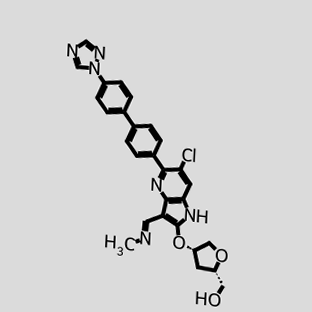 C/N=C/c1c(O[C@@H]2CO[C@H](CO)C2)[nH]c2cc(Cl)c(-c3ccc(-c4ccc(-n5cncn5)cc4)cc3)nc12